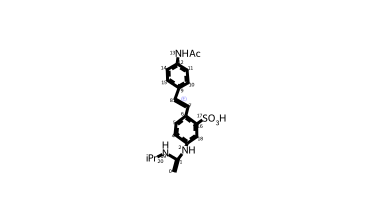 C=C(Nc1ccc(/C=C/c2ccc(NC(C)=O)cc2)c(S(=O)(=O)O)c1)NC(C)C